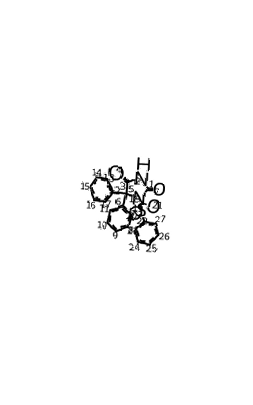 O=C1NC(=O)C(c2ccccc2)(c2ccccc2)N1S(=O)(=O)c1ccccc1